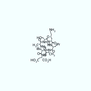 CC[C@H](C)[C@H](NC(=O)[C@H](C)NC(=O)[C@H](CC(C)C)NC(=O)[C@H](CCCCN)NC(=O)[C@H](CO)NC(=O)[C@H](C)N)C(=O)N[C@@H](CC(=O)O)C(=O)O